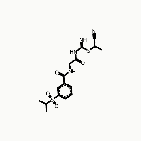 CC(C#N)SC(=N)NC(=O)CNC(=O)c1cccc(S(=O)(=O)C(C)C)c1